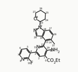 CCOC(=O)c1cc(-c2cccnc2F)nc(-c2c(C)ccc3c2cnn3C2CCCCO2)c1N